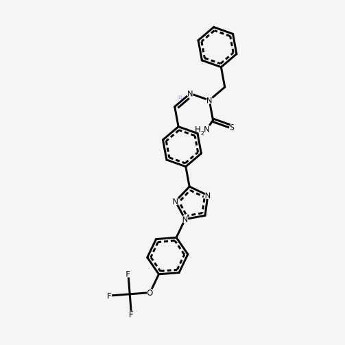 NC(=S)N(Cc1ccccc1)/N=C\c1ccc(-c2ncn(-c3ccc(OC(F)(F)F)cc3)n2)cc1